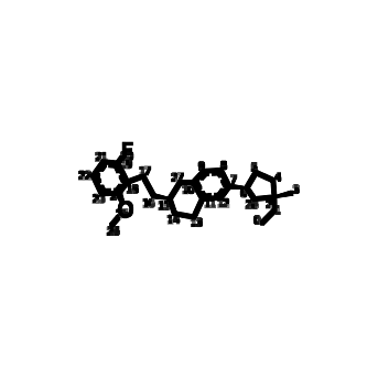 CC[C@@]1(C)CC[C@H](c2ccc3c(c2)CC[C@@H](CCc2c(F)cccc2OC)C3)C1